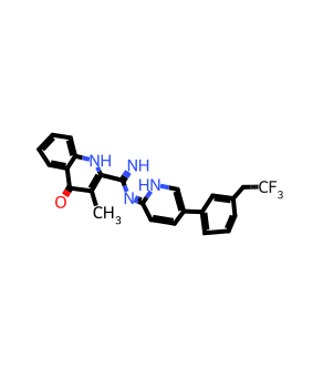 Cc1c(C(=N)/N=c2/ccc(-c3cccc(CC(F)(F)F)c3)c[nH]2)[nH]c2ccccc2c1=O